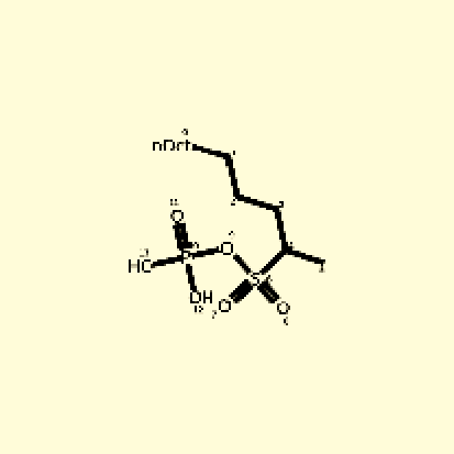 CCCCCCCCCCCC(C)S(=O)(=O)OP(=O)(O)O